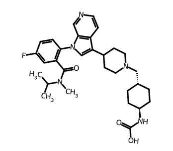 CC(C)N(C)C(=O)c1cc(F)ccc1-n1cc(C2CCN(C[C@H]3CC[C@H](NC(=O)O)CC3)CC2)c2ccncc21